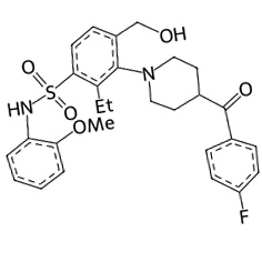 CCc1c(S(=O)(=O)Nc2ccccc2OC)ccc(CO)c1N1CCC(C(=O)c2ccc(F)cc2)CC1